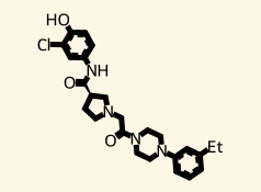 CCc1cccc(N2CCN(C(=O)CN3CC[C@@H](C(=O)Nc4ccc(O)c(Cl)c4)C3)CC2)c1